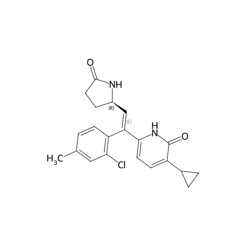 Cc1ccc(/C(=C\[C@H]2CCC(=O)N2)c2ccc(C3CC3)c(=O)[nH]2)c(Cl)c1